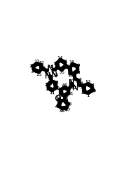 c1ccc(-c2cc(-c3cccc(-c4cccc(-c5nc(-c6ccccc6)nc(-c6ccccc6)n5)c4)c3)nc(-c3ccc4oc5ccccc5c4c3)n2)cc1